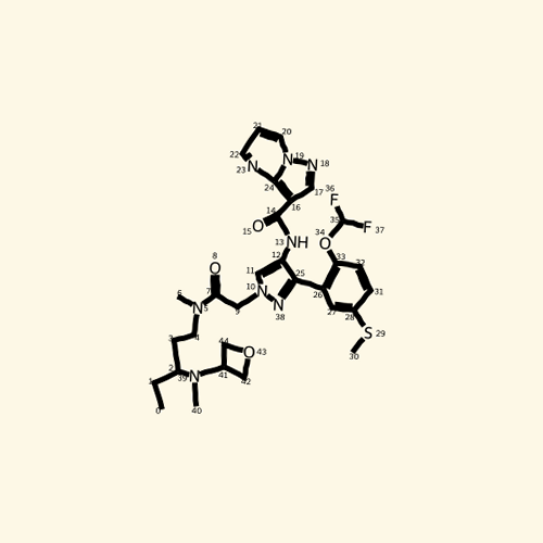 CCC(CCN(C)C(=O)Cn1cc(NC(=O)c2cnn3cccnc23)c(-c2cc(SC)ccc2OC(F)F)n1)N(C)C1COC1